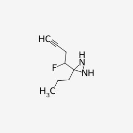 C#CCC(F)C1(CCC)NN1